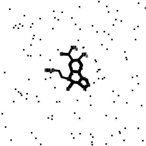 NC(=O)c1cc2c(cc1C(F)(F)F)n1cnnc1c(=O)n2CCC(=O)O